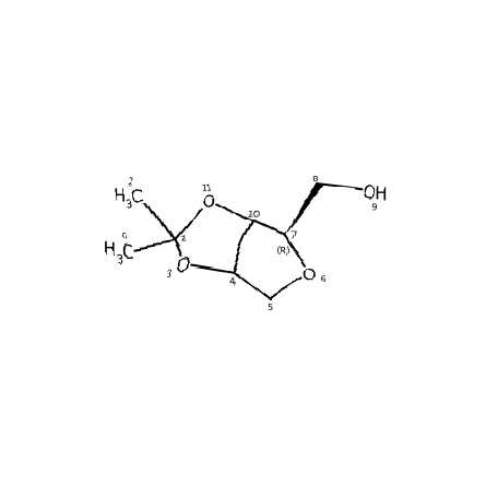 CC1(C)OC2CO[C@H](CO)C2O1